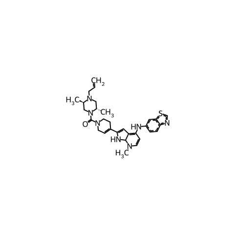 C=CCN1C[C@H](C)N(C(=O)N2CC=C(C3=CC4=C(Nc5ccc6ncsc6c5)C=CN(C)C4N3)CC2)C[C@H]1C